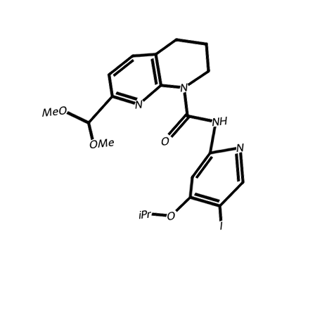 COC(OC)c1ccc2c(n1)N(C(=O)Nc1cc(OC(C)C)c(I)cn1)CCC2